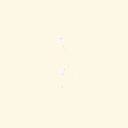 CC[C@H]1CCCC[C@@H](C2=CCOc3cc(-c4ccc(-c5cnn(C)c5)cc4O)nnc32)C1